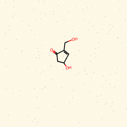 O=C1CC(O)C=C1CO